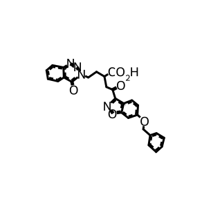 O=C(CC(CCn1nnc2ccccc2c1=O)C(=O)O)c1noc2cc(OCc3ccccc3)ccc12